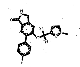 [2H]C([2H])(Oc1cc2c(cc1-c1ccc(F)cc1)C(=O)NC2)c1ccn(C)n1